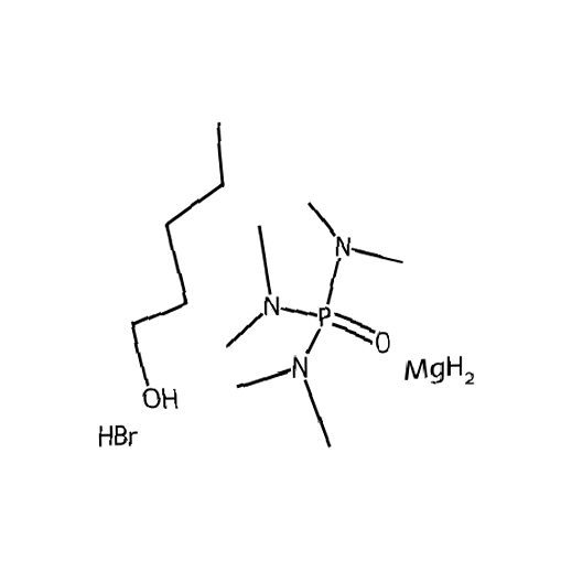 Br.CCCCCO.CN(C)P(=O)(N(C)C)N(C)C.[MgH2]